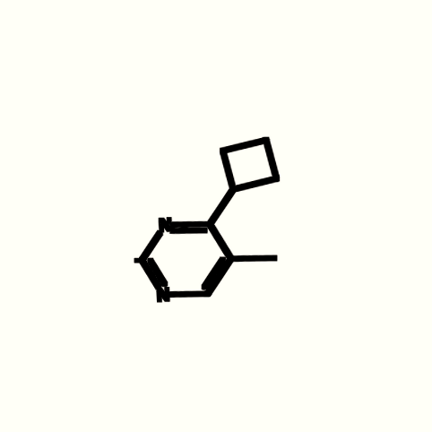 Cc1cn[c]nc1C1CCC1